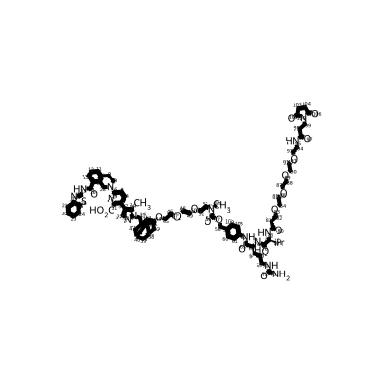 Cc1c(-c2ccc(N3CCc4cccc(C(=O)Nc5nc6ccccc6s5)c4C3)nc2C(=O)O)cnn1CC12CC3CC(C1)CC(OCCOCCOCCN(C)C(=O)OCc1ccc(NC(=O)[C@H](CCCNC(N)=O)NC(=O)[C@@H](NC(=O)CCOCCOCCOCCOCCNC(=O)CCN4C(=O)C=CC4=O)C(C)C)cc1)(C3)C2